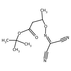 CC(CC(=O)OC(C)(C)C)ON=C(C#N)C#N